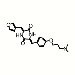 CN(C)CCCOc1ccc(C=c2[nH]c(=O)c(=Cc3ccoc3)[nH]c2=O)cc1